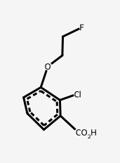 O=C(O)c1cccc(OCCF)c1Cl